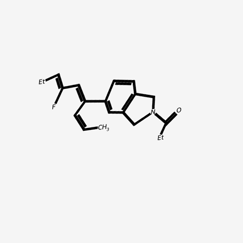 C\C=C/C(=C\C(F)=C\CC)c1ccc2c(c1)CN(C(=O)CC)C2